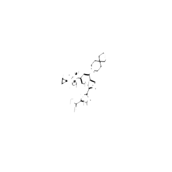 CC1(NS(=O)(=O)c2cc(N3CCC4(CCOC4)CC3)c3cnc(-c4nnc(C(F)F)s4)n3c2)CC1